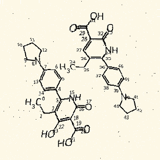 CCc1c(-c2ccc(N3CCCC3)cc2)[nH]c(=O)c(C(=O)O)c1O.CCc1cc(C(=O)O)c(=O)[nH]c1-c1ccc(N2CCCC2)cc1